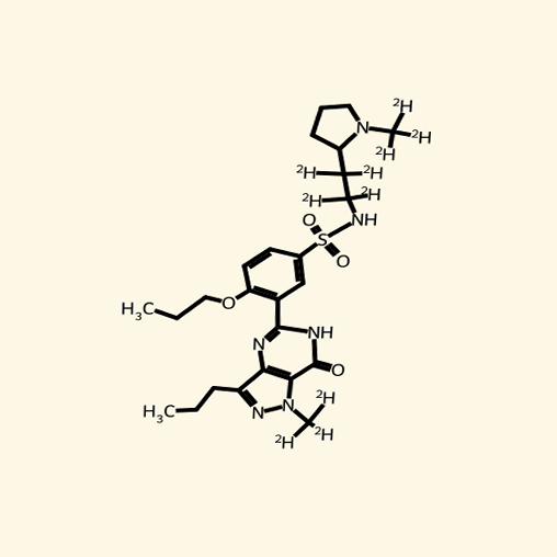 [2H]C([2H])([2H])N1CCCC1C([2H])([2H])C([2H])([2H])NS(=O)(=O)c1ccc(OCCC)c(-c2nc3c(CCC)nn(C([2H])([2H])[2H])c3c(=O)[nH]2)c1